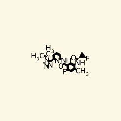 Cc1cc(F)c(C(=O)Nc2cccc(-c3nncn3C(C)C)n2)cc1NC(=O)[C@@H]1C[C@H]1F